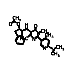 CC(=O)OC1Cc2ccccc2C1Nc1c(C)nc(-c2cnc(N(C)C)cc2C)n(C)c1=O